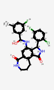 O=C1NCCCc2c1cc(NC(O)c1cc(F)cc(C(F)(F)F)c1)c1c2C(=O)NC1c1cc(F)ccc1Cl